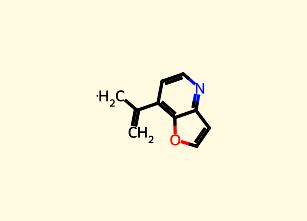 [CH2]C(=C)c1ccnc2ccoc12